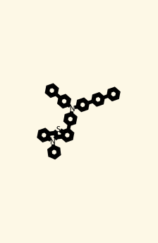 c1ccc(-c2ccc(-c3ccc(N(c4ccc(-c5ccccc5)cc4)c4ccc(-c5cccc6c5sc5c7ccccc7n(-c7ccccc7)c65)cc4)cc3)cc2)cc1